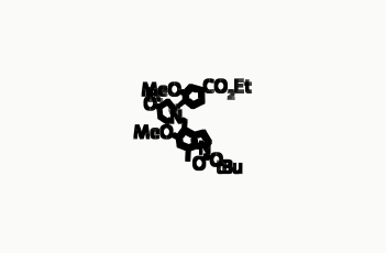 CCOC(=O)c1ccc([C@@H]2CC(OCC)CCN2Cc2c(OC)cc(C)c3c2ccn3C(=O)OC(C)(C)C)c(OC)c1